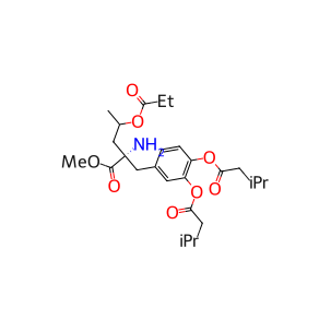 CCC(=O)OC(C)C[C@@](N)(Cc1ccc(OC(=O)CC(C)C)c(OC(=O)CC(C)C)c1)C(=O)OC